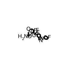 NC(=O)Cn1cc(C(O)(c2ccc3c(cnn3-c3ccc(F)cc3)c2)C(F)(F)F)ccc1=O